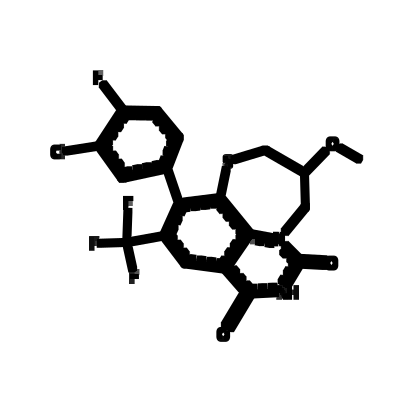 COC1CSc2c(-c3ccc(F)c(Cl)c3)c(C(F)(F)F)cc3c(=O)[nH]c(=O)n(c23)C1